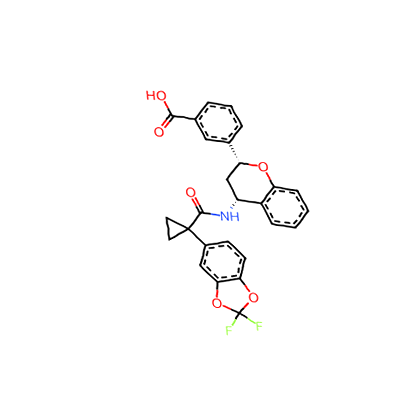 O=C(O)c1cccc([C@H]2C[C@@H](NC(=O)C3(c4ccc5c(c4)OC(F)(F)O5)CC3)c3ccccc3O2)c1